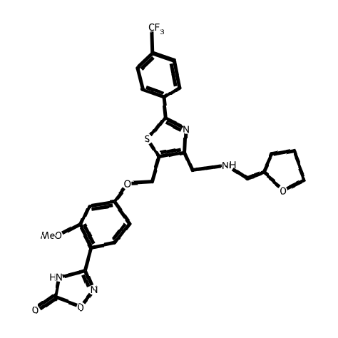 COc1cc(OCc2sc(-c3ccc(C(F)(F)F)cc3)nc2CNCC2CCCO2)ccc1-c1noc(=O)[nH]1